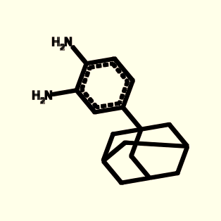 Nc1ccc(C23CC4CC(CC(C4)C2)C3)cc1N